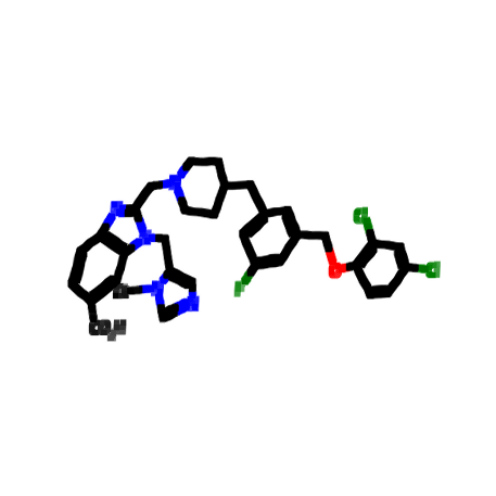 CCn1cncc1Cn1c(CN2CCC(Cc3cc(F)cc(COc4ccc(Cl)cc4Cl)c3)CC2)nc2ccc(C(=O)O)cc21